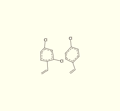 C=Cc1ccc(Cl)cc1.C=Cc1ccc(Cl)cc1Cl